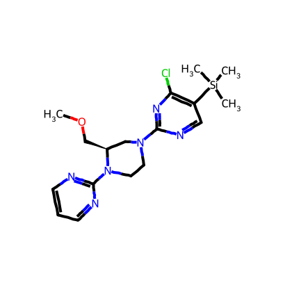 COC[C@H]1CN(c2ncc([Si](C)(C)C)c(Cl)n2)CCN1c1ncccn1